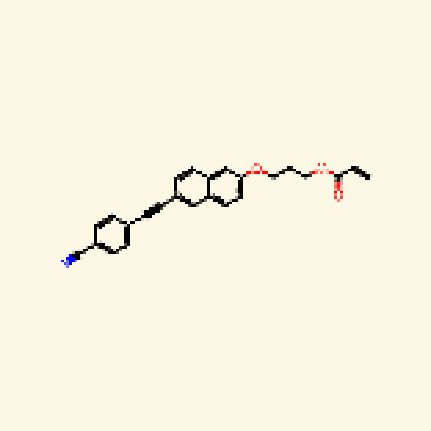 C=CC(=O)OCCCOc1ccc2cc(C#Cc3ccc(C#N)cc3)ccc2c1